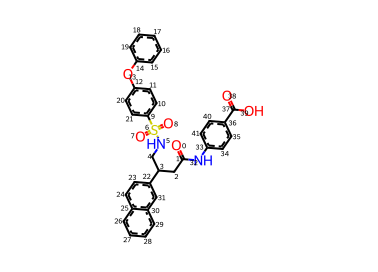 O=C(CC(CNS(=O)(=O)c1ccc(Oc2ccccc2)cc1)c1ccc2ccccc2c1)Nc1ccc(C(=O)O)cc1